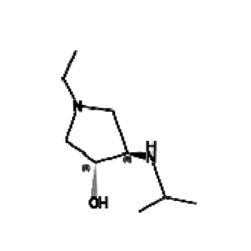 CCN1C[C@@H](O)[C@H](NC(C)C)C1